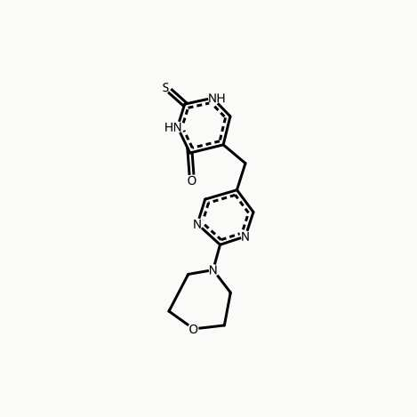 O=c1[nH]c(=S)[nH]cc1Cc1cnc(N2CCOCC2)nc1